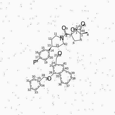 CC1(C)[C@@]2(C)CC[C@]1(C(=O)N1CC[C@H](c3ccc(F)cc3)[C@@H](OCc3cc(OCc4ccccc4)c4ccccc4c3)C1)OC2=O